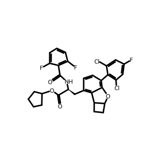 O=C(N[C@@H](Cc1ccc(-c2c(Cl)cc(F)cc2Cl)c2c1C1CCC1O2)C(=O)OC1CCCC1)c1c(F)cccc1F